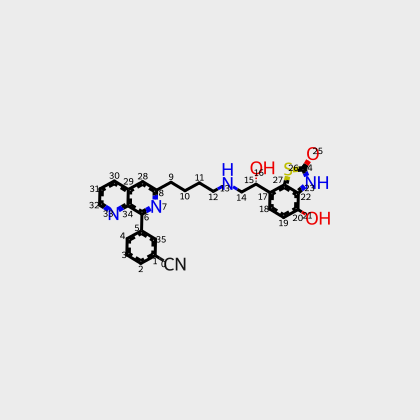 N#Cc1cccc(-c2nc(CCCCNC[C@H](O)c3ccc(O)c4[nH]c(=O)sc34)cc3cccnc23)c1